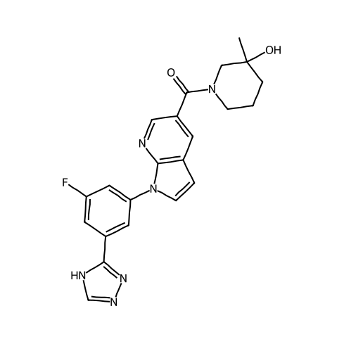 CC1(O)CCCN(C(=O)c2cnc3c(ccn3-c3cc(F)cc(-c4nnc[nH]4)c3)c2)C1